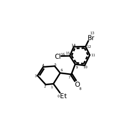 CCC1CC=CCC1C(=O)c1ccc(Br)cc1Cl